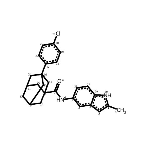 Cc1cc2cc(NC(=O)C34CC5CC(C3)CC(c3ccc(Cl)cc3)(C5)C4)ccc2[nH]1